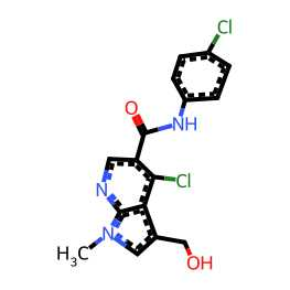 Cn1cc(CO)c2c(Cl)c(C(=O)Nc3ccc(Cl)cc3)cnc21